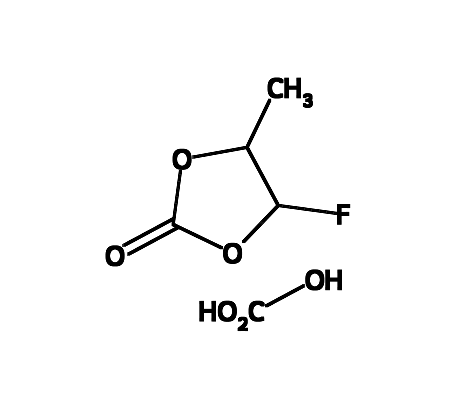 CC1OC(=O)OC1F.O=C(O)O